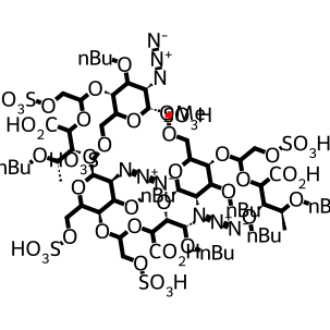 CCCCOC1[C@@H](OC(COS(=O)(=O)O)OC(C(=O)O)[C@H](O[C@@H]2OC(COS(=O)(=O)O)[C@H](OC(COS(=O)(=O)O)OC(C(=O)O)[C@H](O[C@@H]3OC(COS(=O)(=O)O)[C@H](OC(COS(=O)(=O)O)OC(C(=O)O)[C@@H](OCCCC)[C@H](C)OCCCC)C(OCCCC)[C@@H]3N=[N+]=[N-])[C@H](C)OCCCC)C(OCCCC)[C@@H]2N=[N+]=[N-])[C@H](C)OCCCC)C(COS(=O)(=O)O)O[C@@H](OC)[C@H]1N=[N+]=[N-]